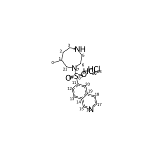 CC1CCNCCN(S(=O)(=O)c2ccc3cnccc3c2)C1.Cl.Cl